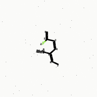 C=C(F)/C=C\C(=C/C)NC